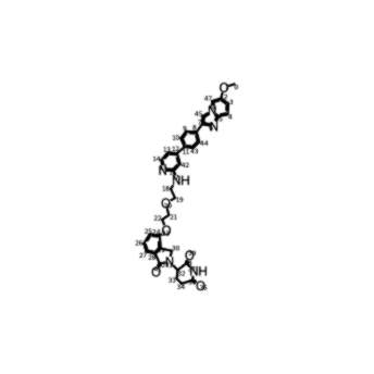 COc1ccc2nc(-c3ccc(-c4ccnc(NCCOCCOc5cccc6c5CN(C5CCC(=O)NC5=O)C6=O)c4)cc3)cn2c1